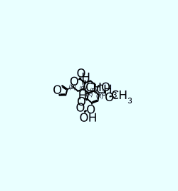 COC(=O)[C@@H]1C=C(OC(=O)O)C(=O)[C@H]2[C@@]1(C)CC[C@H]1C(=O)O[C@H](c3ccoc3)C[C@]21C